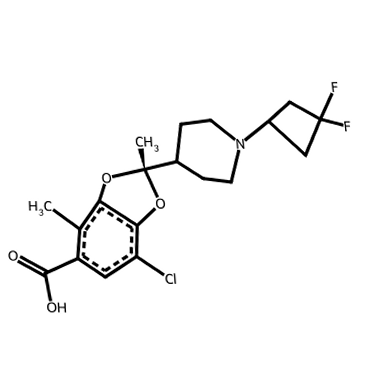 Cc1c(C(=O)O)cc(Cl)c2c1O[C@](C)(C1CCN(C3CC(F)(F)C3)CC1)O2